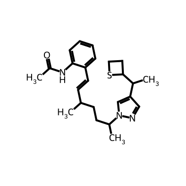 CC(=O)Nc1ccccc1/C=C/C(C)CCC(C)n1cc(C(C)C2CCS2)cn1